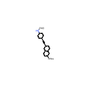 CCCCCCc1ccc2cc(C#Cc3ccc(NC=O)cc3)ccc2c1